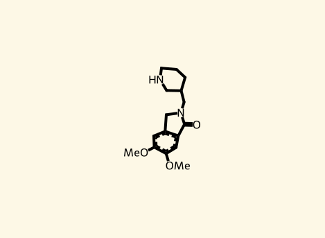 COc1cc2c(cc1OC)C(=O)N(CC1CCCNC1)C2